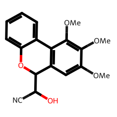 COc1cc2c(c(OC)c1OC)-c1ccccc1OC2C(O)C#N